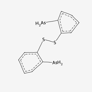 [AsH2]c1ccccc1SSc1ccccc1[AsH2]